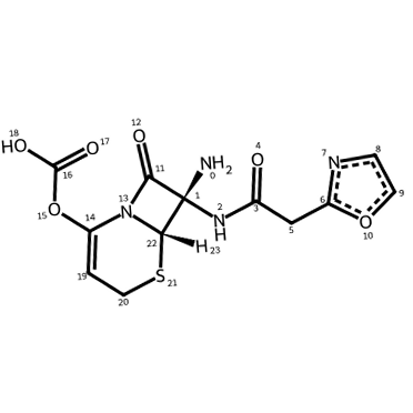 N[C@]1(NC(=O)Cc2ncco2)C(=O)N2C(OC(=O)O)=CCS[C@H]21